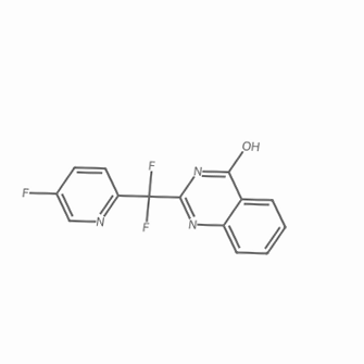 Oc1nc(C(F)(F)c2ccc(F)cn2)nc2ccccc12